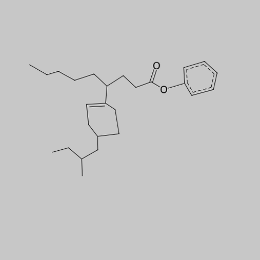 CCCCCC(CCC(=O)Oc1ccccc1)C1=CCC(CC(C)CC)CC1